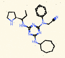 CCC(Nc1nc(NC2CCCCCC2)nc(N(CC#N)c2ccccc2)n1)[C@@H]1CCCN1